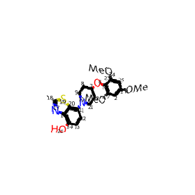 COc1cc(OC)c(OC2CCN(c3ccc(O)c4ncsc34)CC2)c(OC)c1